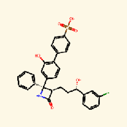 O=C1N[C@@](c2ccccc2)(c2ccc(-c3ccc(S(=O)(=O)O)cc3)c(O)c2)[C@H]1CC[C@H](O)c1cccc(F)c1